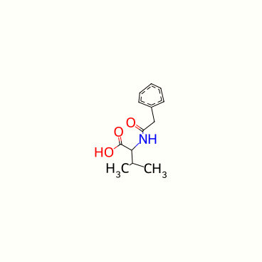 CC(C)C(NC(=O)Cc1ccccc1)C(=O)O